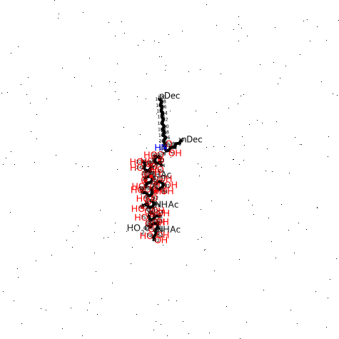 CCCCCCCCCCCCC/C=C/[C@@H](O)[C@H](CO[C@@H]1OC(CO)[C@@H](O[C@@H]2OC(CO)[C@H](O)[C@H](O[C@@H]3OC(CO)[C@@H](O[C@@H]4OC(CO)[C@H](O)[C@H](O[C@@H]5OC(CO)[C@@H](O[C@@H]6OC(CO)[C@H](O)[C@H](O[C@]7(C(=O)O)CC(O)[C@@H](NC(C)=O)C([C@H](O)[C@H](O)CO)O7)C6O)[C@H](O)C5NC(C)=O)C4O)[C@H](O[C@H]4OC(C)[C@@H](O)C(O)[C@@H]4O)C3NC(C)=O)C2O)[C@H](O)C1O)NC(=O)CCCCCCCCCCCCCCCCCCCCCCCCC